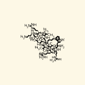 CC(C)[C@H](NC(=O)[C@H](CCCCN)NC(=O)[C@H](CC(=O)O)NC(=O)[C@@H](NC(=O)[C@@H](NC(=O)[C@H](CCCNC(=N)N)NC(=O)[C@H](CCCNC(=N)N)NC(=O)[C@@H](N)Cc1c[nH]c2ccccc12)[C@@H](C)O)C(C)C)C(=O)N[C@@H](CCCNC(=N)N)C(=O)N[C@@H](CCCCN)C(=O)O